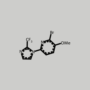 COc1ccc(-n2ccnc2C(F)(F)F)nc1Br